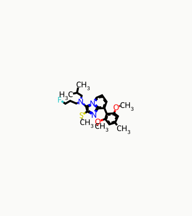 COc1cc(C)cc(OC)c1-c1cccn2c(N(CCCF)CC(C)C)c(SC)nc12